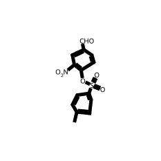 Cc1ccc(S(=O)(=O)Oc2ccc(C=O)cc2[N+](=O)[O-])cc1